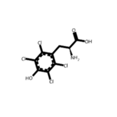 N[C@@H](Cc1c(Cl)c(Cl)c(O)c(Cl)c1Cl)C(=O)O